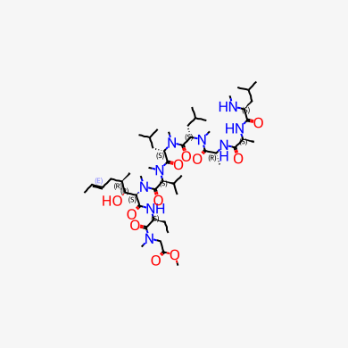 C/C=C/C[C@@H](C)[C@@H](O)[C@@H](C(=O)N[C@@H](CC)C(=O)N(C)CC(=O)OC)N(C)C(=O)[C@H](C(C)C)N(C)C(=O)[C@H](CC(C)C)N(C)C(=O)[C@H](CC(C)C)N(C)C(=O)[C@@H](C)NC(=O)[C@H](C)NC(=O)[C@H](CC(C)C)NC